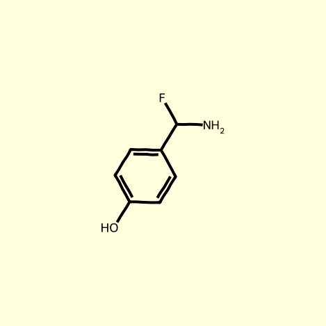 NC(F)c1ccc(O)cc1